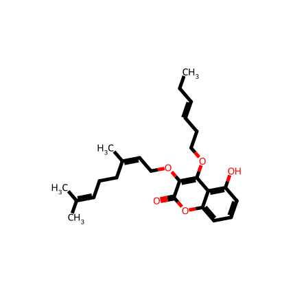 CCC=CCCOc1c(OCC=C(C)CCC=C(C)C)c(=O)oc2cccc(O)c12